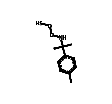 Cc1ccc(C(C)(C)NOOS)cc1